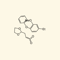 CCc1ccc(Oc2ccccc2)c(OC)c1.O=S(=O)=CCC1OCCO1